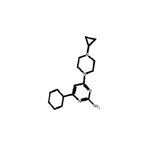 Nc1nc(C2CCCCC2)cc(N2CCN(C3CC3)CC2)n1